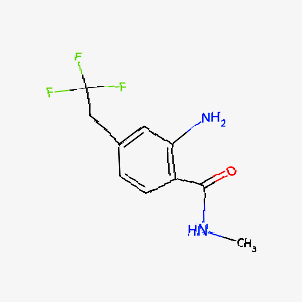 CNC(=O)c1ccc(CC(F)(F)F)cc1N